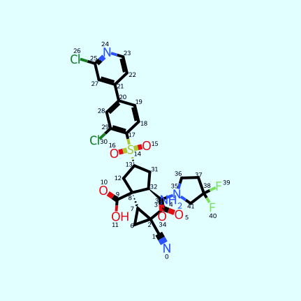 N#CC1(C(N)=O)CC1[C@]1(C(=O)O)C[C@H](S(=O)(=O)c2ccc(-c3ccnc(Cl)c3)cc2Cl)C[C@H]1C(=O)N1CCC(F)(F)C1